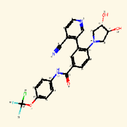 N#Cc1ccncc1-c1cc(C(=O)Nc2ccc(OC(F)(F)Cl)cc2)ccc1N1C[C@H](O)[C@@H](O)C1